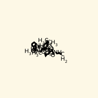 C=CCCNC(=O)C(=O)C(CC1CC1)NC(=O)[C@@H]1[C@@H]2C(CN1C(=O)[C@@H](NC(=O)NC1(CS(C)(=O)=O)CCCCC1)C(C)(C)C)C2(C)C